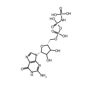 Nc1nc2c(ncn2[C@@H]2O[C@H](COP(=O)(O)OP(=O)(O)NP(=O)(O)O)C(O)C2O)c(=O)[nH]1